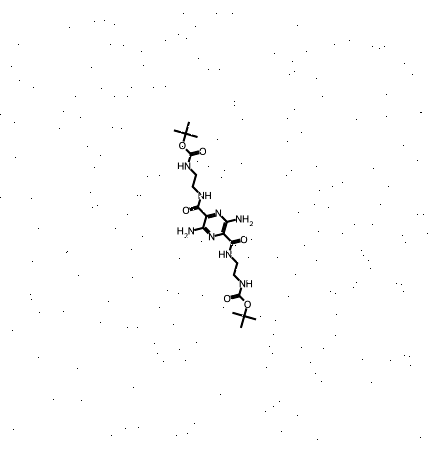 CC(C)(C)OC(=O)NCCNC(=O)c1nc(N)c(C(=O)NCCNC(=O)OC(C)(C)C)nc1N